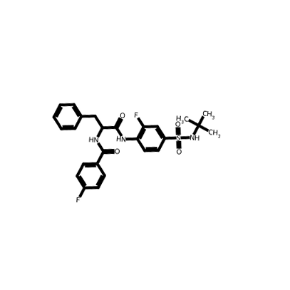 CC(C)(C)NS(=O)(=O)c1ccc(NC(=O)C(Cc2ccccc2)NC(=O)c2ccc(F)cc2)c(F)c1